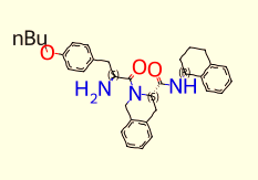 CCCCOc1ccc(C[C@H](N)C(=O)N2Cc3ccccc3C[C@H]2C(=O)N[C@@H]2CCCc3ccccc32)cc1